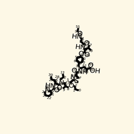 CCCO[C@H](C[C@H](C(C)C)N(CCC)C(=O)[C@@H](NC(=O)[C@H]1CCCCN1C)[C@@H](C)CC)c1nc(C(=O)N[C@@H](Cc2ccc(OC(=O)[C@H](NC(=O)CCNOCC)C(C)C)cc2)C[C@H](C)C(=O)O)cs1